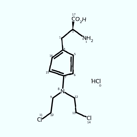 Cl.N[C@@H](Cc1ccc(N(CCCl)CCCl)cc1)C(=O)O